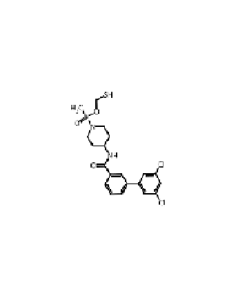 CP(=O)(OCS)N1CCC(NC(=O)c2cccc(-c3cc(Cl)cc(Cl)c3)c2)CC1